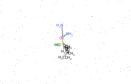 CC(C)CCC[C@@H](C)[C@H]1CC[C@H]2[C@@H]3CC=C4C[C@@H](SSCCC(=O)N(CCCN)CCCCCCCCN)CC[C@]4(C)[C@H]3CC[C@]12C.Cl.Cl